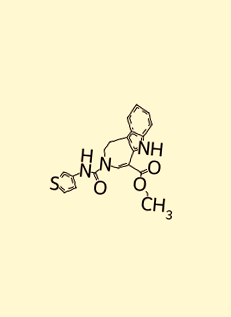 CCOC(=O)C1=CN(C(=O)Nc2ccsc2)CCc2c1[nH]c1ccccc21